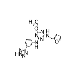 CCOc1nc(NCc2ccco2)nc(Nc2cccc(-c3nn[nH]n3)c2)n1